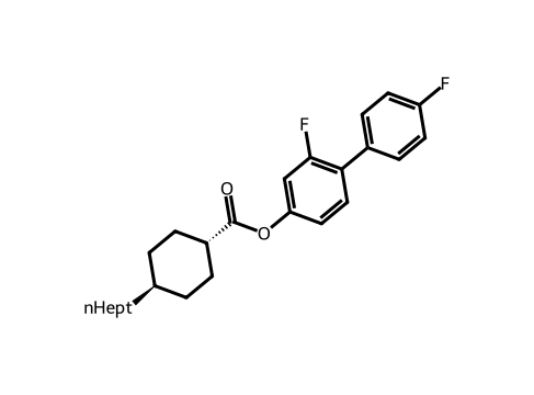 CCCCCCC[C@H]1CC[C@H](C(=O)Oc2ccc(-c3ccc(F)cc3)c(F)c2)CC1